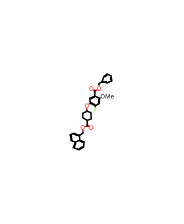 COc1cc(F)c(OC2CCC(C(=O)OCc3cccc4ccccc34)CC2)cc1C(=O)OCc1ccccc1